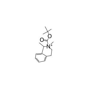 CC1c2ccccc2CC[N+]1(C)C(=O)OC(C)(C)C